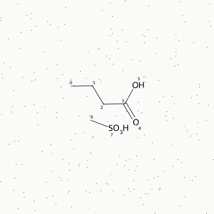 CCCC(=O)O.CS(=O)(=O)O